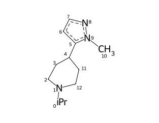 CC(C)N1CCC(c2ccnn2C)CC1